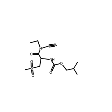 CCN(C#N)C(=O)C(CS(C)(=O)=O)NC(=O)OCC(C)C